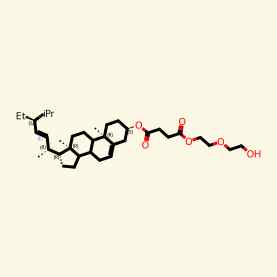 CC[C@H](/C=C/[C@@H](C)[C@H]1CCC2C3CC=C4C[C@@H](OC(=O)CCC(=O)OCCOCCO)CC[C@]4(C)C3CC[C@@]21C)C(C)C